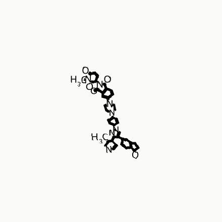 CC1C=NC=CC1c1nn(-c2ccc(N3CCN(c4ccc5c(c4)C(=O)N(C4CCC(=O)N(C)C4=O)C5=O)CC3)cc2)cc1-c1ccc2c(c1)CCC2=O